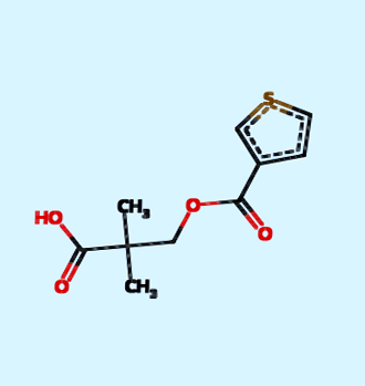 CC(C)(COC(=O)c1ccsc1)C(=O)O